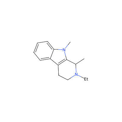 CCN1CCc2c(n(C)c3ccccc23)C1C